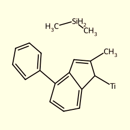 CC1=Cc2c(-c3ccccc3)cccc2[CH]1[Ti].C[SiH2]C